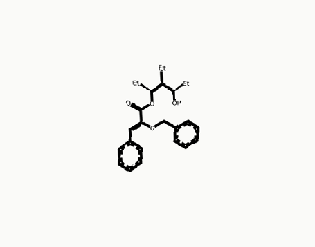 CCC([C@H](O)CC)[C@H](CC)OC(=O)C(=Cc1ccccc1)OCc1ccccc1